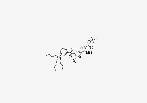 CCC[CH2][Sn]([CH2]CCC)([CH2]CCC)[c]1cccc(S(=O)(=O)c2cc(C(=N)NC(=O)OC(C)(C)C)sc2SC)c1